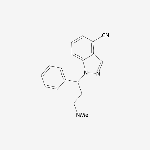 CNCCC(c1ccccc1)n1ncc2c(C#N)cccc21